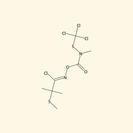 CSC(C)(C)C(Cl)=NOC(=O)N(C)SC(Cl)(Cl)Cl